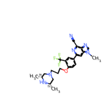 C[C@@H]1CN(CCCOc2ccc(-c3cc4c(ncn4C)c(C#N)n3)cc2C(F)(F)F)C[C@H](C)N1